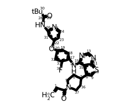 C=CC(=O)N1CCC(c2csc3ncnc(Nc4ccc(Oc5ccnc(NC(=O)C(C)(C)C)c5)cc4F)c23)CC1